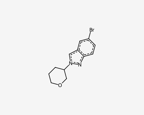 Brc1ccc2nn(C3CCCOC3)cc2c1